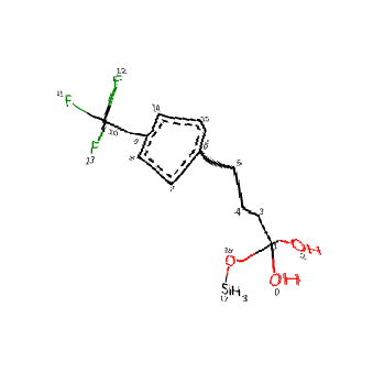 OC(O)(CCCc1ccc(C(F)(F)F)cc1)O[SiH3]